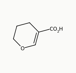 O=C(O)C1=COCCC1